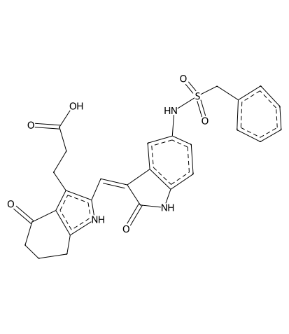 O=C(O)CCc1c(C=C2C(=O)Nc3ccc(NS(=O)(=O)Cc4ccccc4)cc32)[nH]c2c1C(=O)CCC2